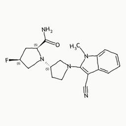 Cn1c(N2CC[C@H](N3C[C@@H](F)C[C@H]3C(N)=O)C2)c(C#N)c2ccccc21